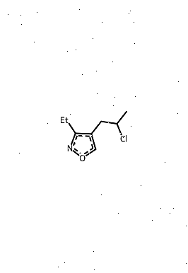 CCc1nocc1CC(C)Cl